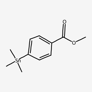 COC(=O)c1cc[c]([Sn]([CH3])([CH3])[CH3])cc1